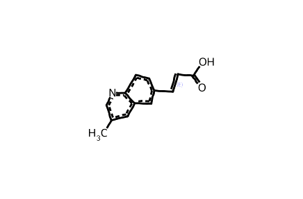 Cc1cnc2ccc(/C=C/C(=O)O)cc2c1